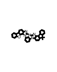 CC1(C)c2ccccc2-c2c1ccc1c2nc2n1c1cccc3c1n2c1nc2ccc4c5ccccc5oc4c2n31